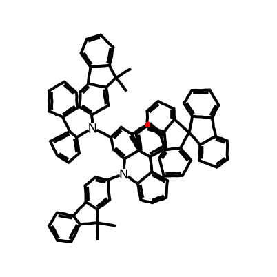 CC1(C)c2ccccc2-c2ccc(N(c3cc(-c4cccc5c4-c4ccccc4C54c5ccccc5-c5ccccc54)cc(N(c4ccc5c(c4)C(C)(C)c4ccccc4-5)c4ccccc4-c4ccccc4)c3)c3ccccc3-c3ccccc3)cc21